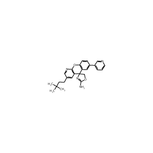 CC(C)(C)CCc1cnc2c(c1)C1(COC(N)=N1)c1cc(-c3cccnc3)ccc1O2